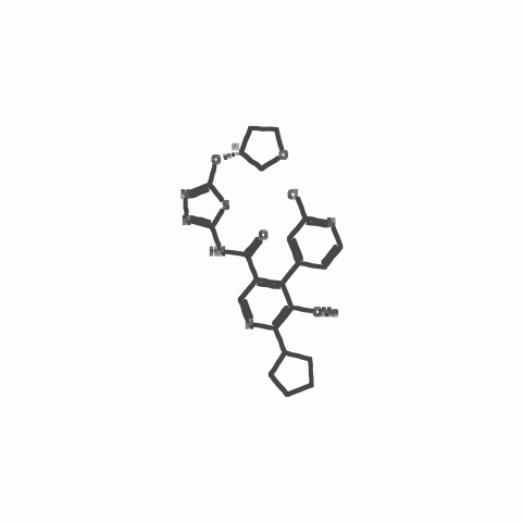 COc1c(C2CCCC2)ncc(C(=O)Nc2nnc(O[C@@H]3CCOC3)s2)c1-c1ccnc(Cl)c1